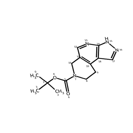 CC(C)(C)OC(=O)N1CCc2c(cnc3[nH]ncc23)C1